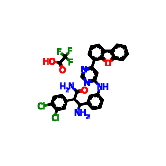 NC(=O)C(c1ccc(Cl)c(Cl)c1)C(N)c1cccc(Nc2cc(-c3cccc4c3oc3ccccc34)ncn2)c1.O=C(O)C(F)(F)F